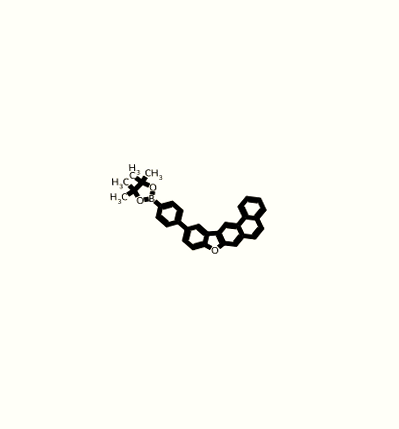 CC1(C)OB(c2ccc(-c3ccc4oc5cc6ccc7ccccc7c6cc5c4c3)cc2)OC1(C)C